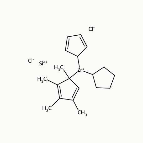 CC1=C[C](C)([Zr+]([CH]2C=CC=C2)[CH]2CCCC2)C(C)=C1C.[Cl-].[Cl-].[Si+4]